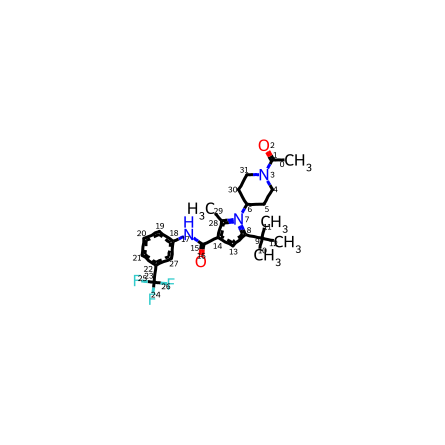 CC(=O)N1CCC(n2c(C(C)(C)C)cc(C(=O)Nc3cccc(C(F)(F)F)c3)c2C)CC1